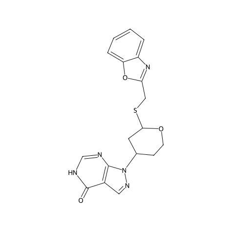 O=c1[nH]cnc2c1cnn2C1CCOC(SCc2nc3ccccc3o2)C1